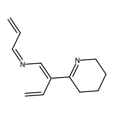 C=C/C=N\C=C(/C=C)C1=NCCCC1